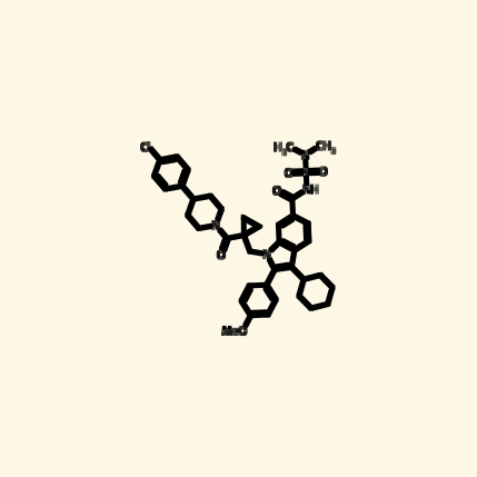 COc1ccc(-c2c(C3CCCCC3)c3ccc(C(=O)NS(=O)(=O)N(C)C)cc3n2CC2(C(=O)N3CCC(c4ccc(Cl)cc4)CC3)CC2)cc1